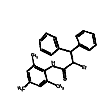 CCC(C(=O)Nc1c(C)cc(C)cc1C)C(c1ccccc1)c1ccccc1